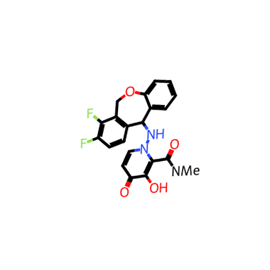 CNC(=O)c1c(O)c(=O)ccn1NC1c2ccccc2OCc2c1ccc(F)c2F